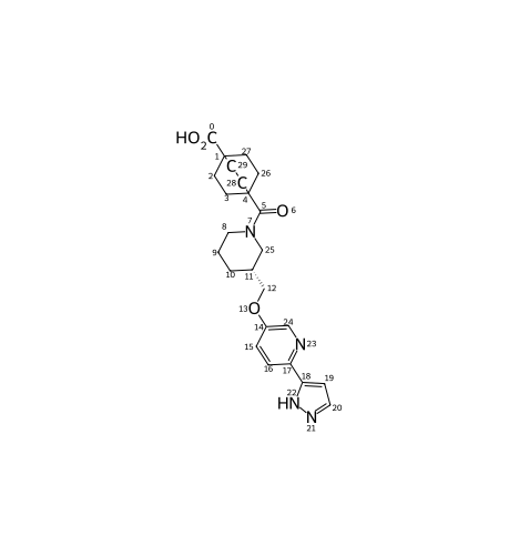 O=C(O)C12CCC(C(=O)N3CCC[C@@H](COc4ccc(-c5ccn[nH]5)nc4)C3)(CC1)CC2